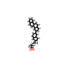 CC(C)(O)C(C)(C)CBc1ccc2cc(-c3ccc4ccc5c6ccccc6ccc5c4c3)ccc2c1